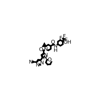 N#Cc1cc(-c2cc(C(=O)N3CCC(C(=O)NC4CCC(O)(C(F)(F)F)CC4)CC34CC4)nn2C2CCCCO2)ncn1